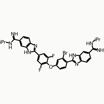 CC(C)NC(=N)c1ccc2nc(-c3cc(F)c(Oc4ccc(-c5nc6ccc(C(=N)NC(C)C)cc6[nH]5)c(Br)c4)c(F)c3)[nH]c2c1